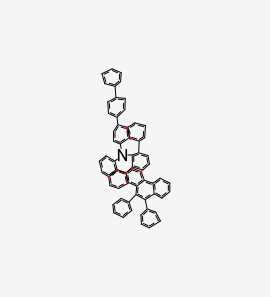 c1ccc(-c2ccc(-c3ccc(N(c4ccccc4-c4ccc5c(c4)c(-c4ccccc4)c(-c4ccccc4)c4ccccc45)c4c(-c5ccccc5)cccc4-c4ccccc4)cc3)cc2)cc1